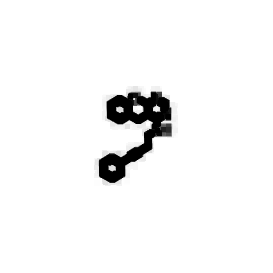 Clc1ncnc(NCCC#Cc2ccccc2)c1Cc1ccccc1